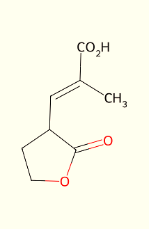 CC(=CC1CCOC1=O)C(=O)O